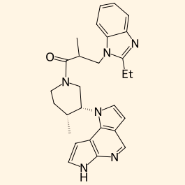 CCc1nc2ccccc2n1CC(C)C(=O)N1CC[C@@H](C)[C@@H](n2ccc3cnc4[nH]ccc4c32)C1